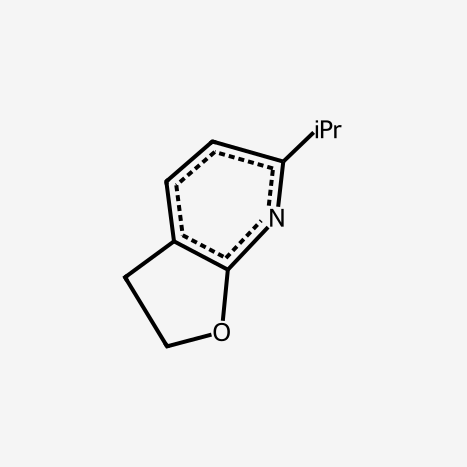 CC(C)c1ccc2c(n1)OCC2